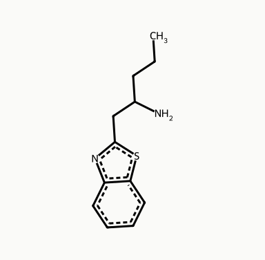 CCCC(N)Cc1nc2ccccc2s1